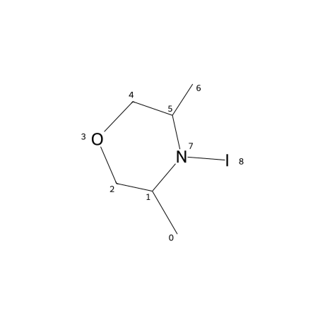 CC1COCC(C)N1I